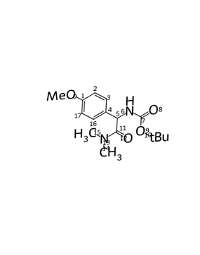 COc1ccc(C(NC(=O)OC(C)(C)C)C(=O)N(C)C)cc1